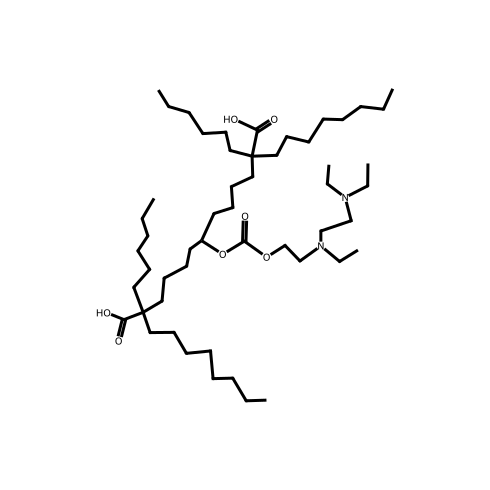 CCCCCCCCC(CCCCCC)(CCCCC(CCCCC(CCCCCC)(CCCCCCCC)C(=O)O)OC(=O)OCCN(CC)CCN(CC)CC)C(=O)O